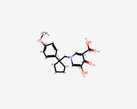 COc1ccc(C2(Cn3cc(O)c(=O)c(C(=O)O)c3)CCCC2)cc1